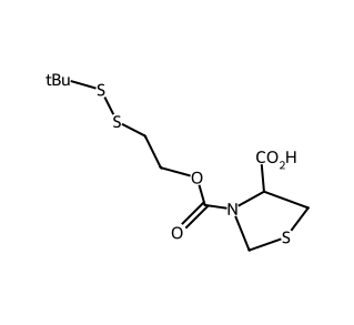 CC(C)(C)SSCCOC(=O)N1CSCC1C(=O)O